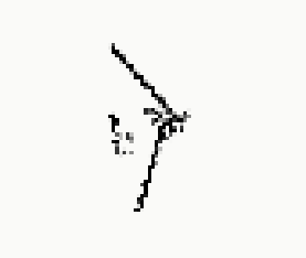 C=CC[NH2+][O-].CCCCCCCCCCCCCC(C(=O)[O-])C(CCCCCCCCCCCCC)(C(=O)[O-])S(=O)(=O)O.[Na+].[Na+]